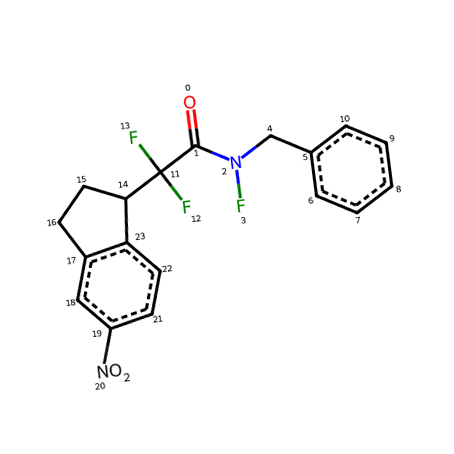 O=C(N(F)Cc1ccccc1)C(F)(F)C1CCc2cc([N+](=O)[O-])ccc21